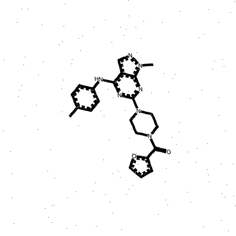 Cc1ccc(Nc2nc(N3CCN(C(=O)c4ccco4)CC3)nc3c2cnn3C)cc1